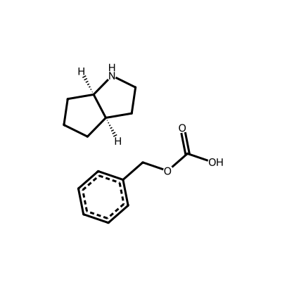 C1C[C@@H]2CCN[C@@H]2C1.O=C(O)OCc1ccccc1